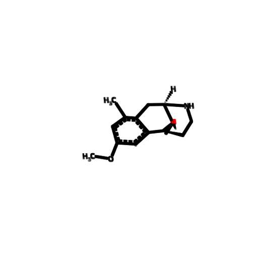 COc1[c]c2c(c(C)c1)C[C@H]1NCC[C@@]23CCCCC13